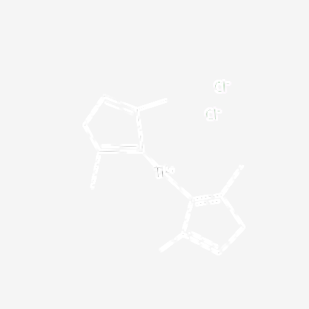 CC1=CCC(C)=[C]1[Ti+2][C]1=C(C)CC=C1C.[Cl-].[Cl-]